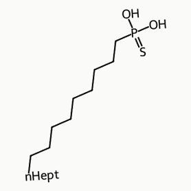 CCCCCCCCCCCCCCCCP(O)(O)=S